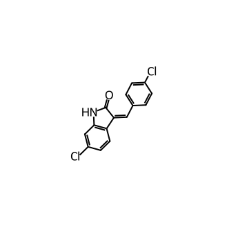 O=C1Nc2cc(Cl)ccc2C1=Cc1ccc(Cl)cc1